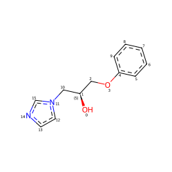 O[C@H](COc1ccccc1)Cn1ccnc1